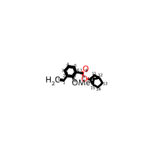 C=Cc1cccc(C(=O)OC2CC3CCC2C3)c1OC